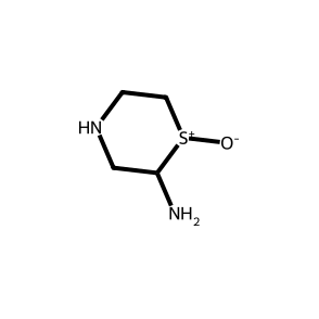 NC1CNCC[S+]1[O-]